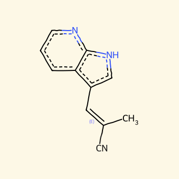 C/C(C#N)=C\c1c[nH]c2ncccc12